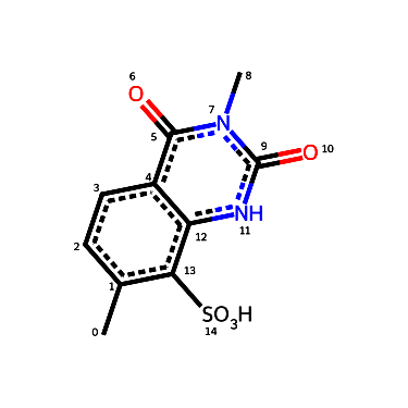 Cc1ccc2c(=O)n(C)c(=O)[nH]c2c1S(=O)(=O)O